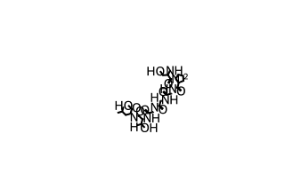 CC(C)CC(NC(=O)C(NC(=O)CNC(=O)CNC(=O)CNC(=O)C1CCCN1C(=O)C(N)CO)C(C)O)C(=O)O